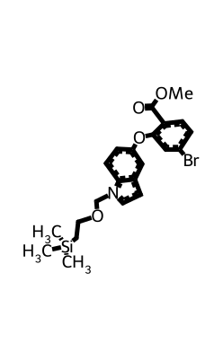 COC(=O)c1ccc(Br)cc1Oc1ccc2c(ccn2COCC[Si](C)(C)C)c1